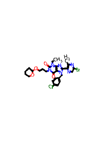 CCn1c(=O)n(CCCOC2CCCCO2)c(=O)c2c1nc(-c1ncc(Br)nc1C)n2Cc1ccc(Cl)cc1